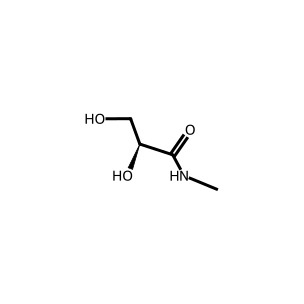 CNC(=O)[C@@H](O)CO